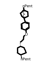 CCCCCC12CCC(c3ccc(OCCC[C@H]4CC[C@H](CCCCC)CC4)cc3)(CC1)CC2